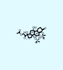 CC(=O)OCC(=O)[C@@]1(O)[C@@H](C)C[C@H]2[C@@H]3[C@@H](OS(C)(=O)=O)[C@@H](OS(C)(=O)=O)C4=CC(=O)CC[C@]4(C)[C@@]3(F)[C@@H](O)C[C@@]21C